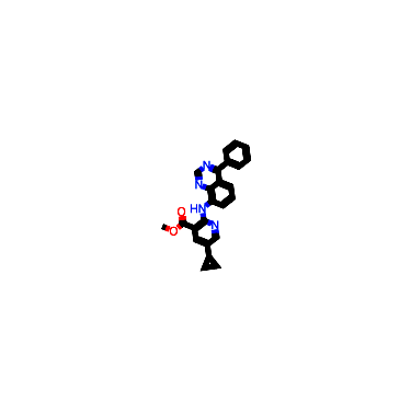 COC(=O)c1cc(C2CC2)cnc1Nc1cccc2c(-c3ccccc3)ncnc12